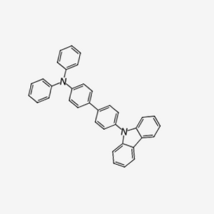 c1ccc(N(c2ccccc2)c2ccc(-c3ccc(-n4c5ccccc5c5ccccc54)cc3)cc2)cc1